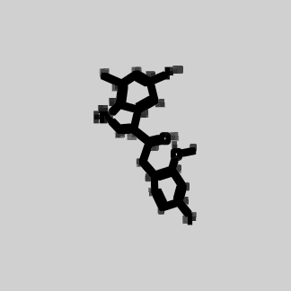 COc1cc(F)ccc1CC(=O)c1c[nH]c2c(C)cc(F)cc12